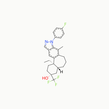 CC[C@@]12CC[C@](O)(C(F)(F)F)C[C@H]1CCCc1c2cc2cnn(-c3ccc(F)cc3)c2c1C